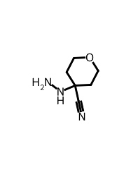 N#CC1(NN)CCOCC1